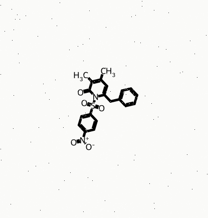 Cc1cc(Cc2ccccc2)n(S(=O)(=O)c2ccc([N+](=O)[O-])cc2)c(=O)c1C